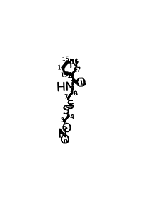 O=NOCCSSCCNC(=O)c1cccnc1